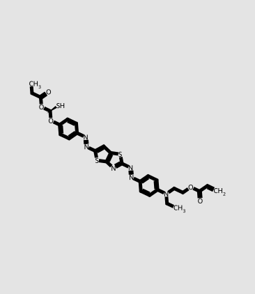 C=CC(=O)OCCN(CC)c1ccc(N=Nc2nc3sc(N=Nc4ccc(O[C@H](S)OC(=O)CC)cc4)cc3s2)cc1